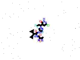 Cc1nonc1C(=O)NC(C(=O)Nc1cn(C(CC(F)F)c2cc(Cl)n[nH]c2=O)nc1F)C(C1CC1)C1CC1